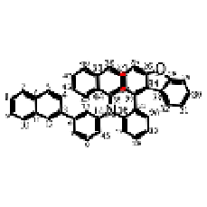 c1cc(-c2ccc3ccccc3c2)cc(N(c2ccccc2-c2cccc3oc4ccccc4c23)c2cccc3ccccc23)c1